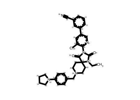 CCN1C(=O)N(c2ncc(-c3cccc(C#N)c3)cc2Cl)C(=O)C12CCN(Cc1ccc(N3CCCC3)cc1)CC2